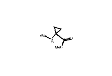 COC(=O)C1(NC(C)(C)C)CC1